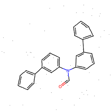 O=CN(c1cccc(-c2ccccc2)c1)c1cccc(-c2ccccc2)c1